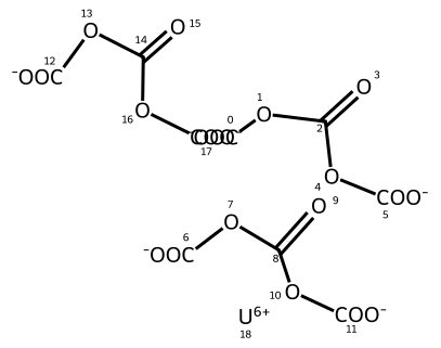 O=C([O-])OC(=O)OC(=O)[O-].O=C([O-])OC(=O)OC(=O)[O-].O=C([O-])OC(=O)OC(=O)[O-].[U+6]